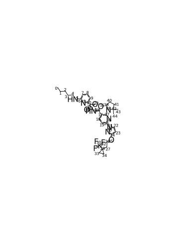 CCCCCNc1cccc(S(=O)(=O)NC(=O)c2ccc(-n3ccc(OCCC4(C(F)(F)F)CC4)n3)nc2N2CCCC2(C)C)n1